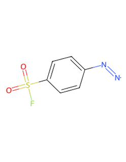 [N]=Nc1ccc(S(=O)(=O)F)cc1